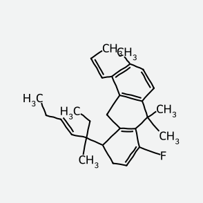 C/C=C\c1c(C)ccc2c1CC1=C(C(F)=CCC1C(C)(C=CCC)CC)C2(C)C